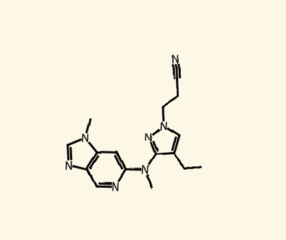 CCc1cn(CCC#N)nc1N(C)c1cc2c(cn1)ncn2C